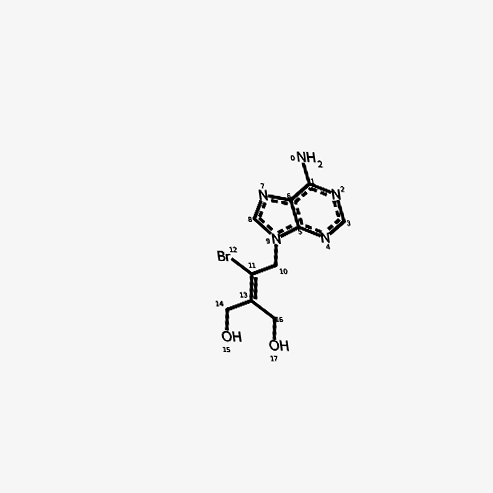 Nc1ncnc2c1ncn2CC(Br)=C(CO)CO